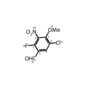 COc1c(Cl)cc(C=O)c(F)c1[N+](=O)[O-]